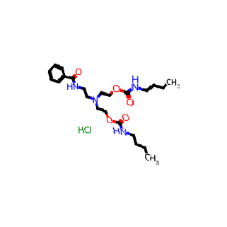 CCCCNC(=O)OCCN(CCNC(=O)c1ccccc1)CCOC(=O)NCCCC.Cl